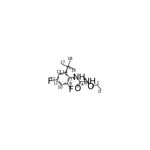 CCONC(=O)Nc1c(F)cc(F)cc1C(C)(C)C